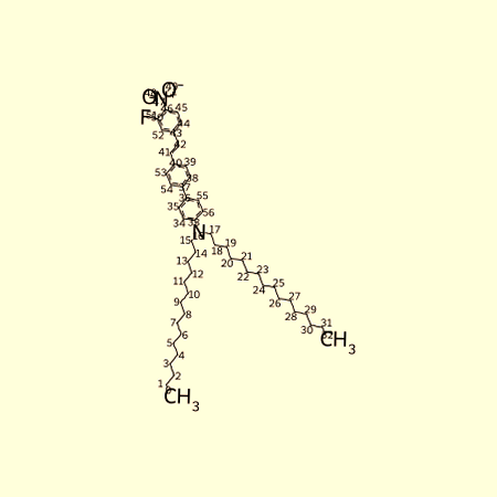 CCCCCCCCCCCCCCCCN(CCCCCCCCCCCCCCCC)c1ccc(-c2ccc(C=Cc3ccc([N+](=O)[O-])c(F)c3)cc2)cc1